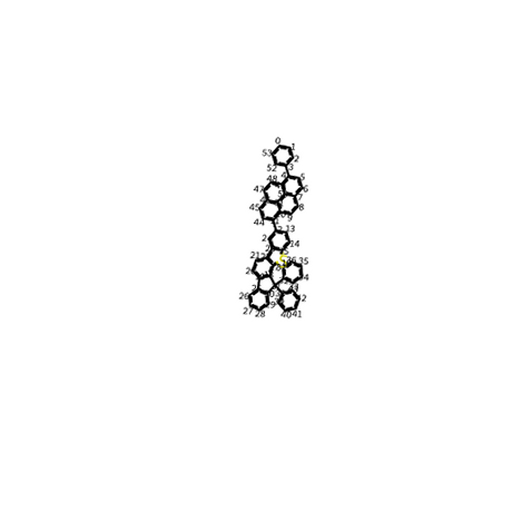 c1ccc(-c2ccc3ccc4c(-c5ccc6sc7c8c(ccc7c6c5)-c5ccccc5C8(c5ccccc5)c5ccccc5)ccc5ccc2c3c54)cc1